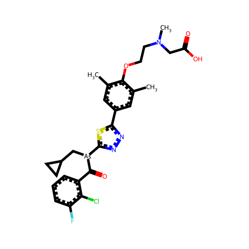 Cc1cc(-c2nnc([As](CC3CC3)C(=O)c3cccc(F)c3Cl)s2)cc(C)c1OCCN(C)CC(=O)O